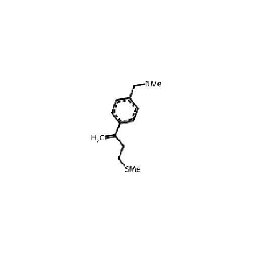 C=C(CCSC)c1ccc(CNC)cc1